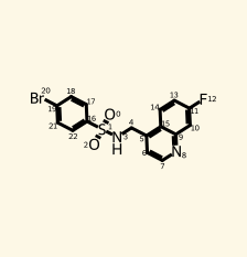 O=S(=O)(NCc1ccnc2cc(F)ccc12)c1ccc(Br)cc1